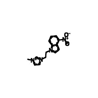 C[n+]1ccn(CCn2ccc3c([N+](=O)[O-])cccc32)c1